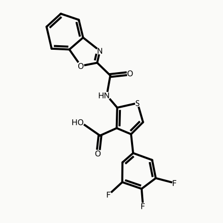 O=C(Nc1scc(-c2cc(F)c(F)c(F)c2)c1C(=O)O)c1nc2ccccc2o1